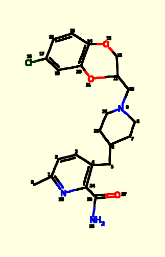 Cc1ccc(CC2CCN(CC3COc4ccc(Cl)cc4O3)CC2)c(C(N)=O)n1